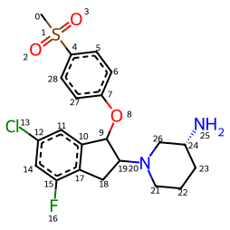 CS(=O)(=O)c1ccc(OC2c3cc(Cl)cc(F)c3CC2N2CCC[C@@H](N)C2)cc1